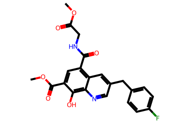 COC(=O)CNC(=O)c1cc(C(=O)OC)c(O)c2ncc(Cc3ccc(F)cc3)cc12